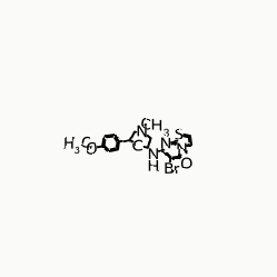 COc1ccc(C2CC(Nc3nc4sccn4c(=O)c3Br)CN(C)C2)cc1